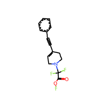 O=C(OF)C(F)(F)N1CC=C(C#Cc2ccccc2)CC1